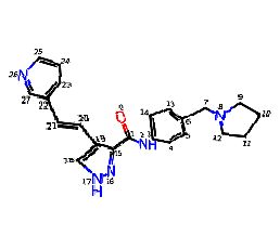 O=C(Nc1ccc(CN2CCCC2)cc1)c1n[nH]cc1C=Cc1cccnc1